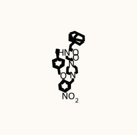 C#Cc1ccc(COc2ccc([N+](=O)[O-])cc2CN2CCN(C(=O)CNC(=O)CC34CC5CC(CC(C5)C3)C4)CC2)cc1